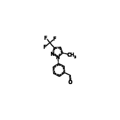 Cc1cc(C(F)(F)F)nn1-c1cccc(C=O)c1